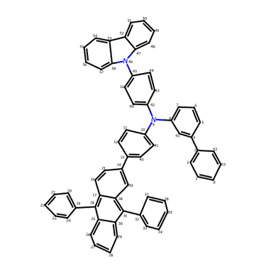 c1ccc(-c2cccc(N(c3ccc(-c4ccc5c(-c6ccccc6)c6ccccc6c(-c6ccccc6)c5c4)cc3)c3ccc(-n4c5ccccc5c5ccccc54)cc3)c2)cc1